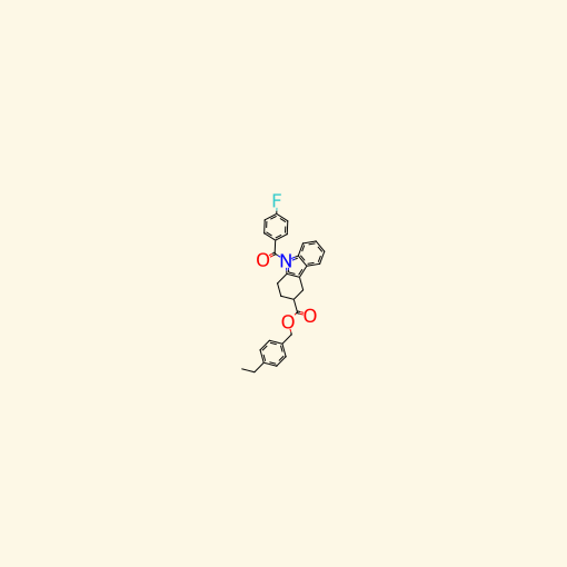 CCc1ccc(COC(=O)C2CCc3c(c4ccccc4n3C(=O)c3ccc(F)cc3)C2)cc1